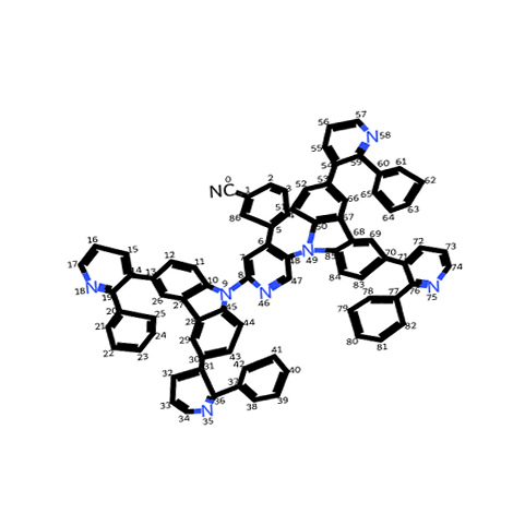 N#Cc1cccc(-c2cc(-n3c4ccc(-c5cccnc5-c5ccccc5)cc4c4cc(-c5cccnc5-c5ccccc5)ccc43)ncc2-n2c3ccc(-c4cccnc4-c4ccccc4)cc3c3cc(-c4cccnc4-c4ccccc4)ccc32)c1